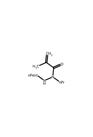 C=C(C)C(=O)N(CCC)NCCCCC